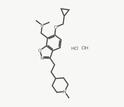 CN(C)Cc1c(OCC2CC2)ccc2c(CCC3CCN(C)CC3)noc12.Cl.Cl